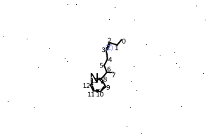 CC/C=C\CCC(C)c1ccccn1